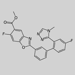 COC(=O)c1cc2nc(-c3cccc(-c4ccc(F)cc4-c4nncn4C)c3)oc2cc1F